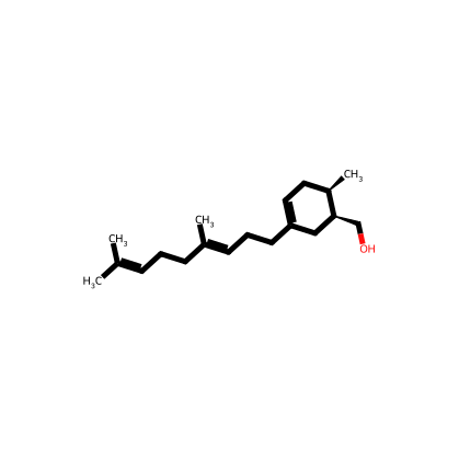 CC(C)=CCC/C(C)=C/CCC1=CC[C@@H](C)[C@@H](CO)C1